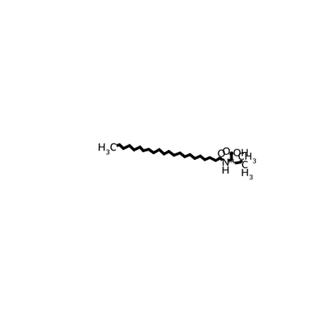 CCCCCCCCCCCCCCCCCCCCCC(=O)N[C@@H](CC(C)C)C(=O)O